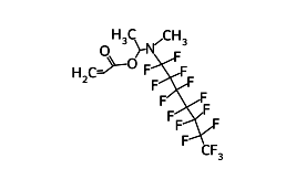 C=CC(=O)OC(C)N(C)C(F)(F)C(F)(F)C(F)(F)C(F)(F)C(F)(F)C(F)(F)C(F)(F)F